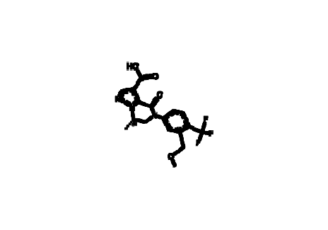 COCc1cc(N2C[C@H](C)n3ncc(C(=O)O)c3C2=O)ccc1C(F)(F)F